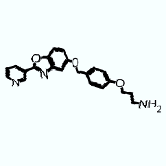 NCCCOc1ccc(COc2ccc3oc(-c4cccnc4)nc3c2)cc1